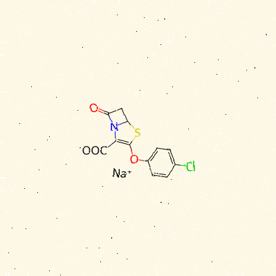 O=C([O-])C1=C(Oc2ccc(Cl)cc2)SC2CC(=O)N12.[Na+]